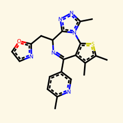 Cc1ccc(C2=NC(Cc3ncco3)c3nnc(C)n3-c3sc(C)c(C)c32)cn1